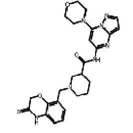 O=C1COc2c(CN3CCCC(C(=O)Nc4cc(N5CCOCC5)n5nccc5n4)C3)cccc2N1